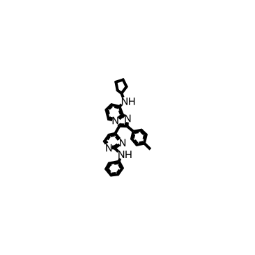 Cc1ccc(-c2nc3c(NC4CCCC4)cccn3c2-c2ccnc(Nc3ccccc3)n2)cc1